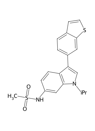 CC(C)n1cc(-c2ccc3ccsc3c2)c2ccc(NS(C)(=O)=O)cc21